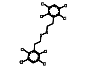 Clc1cc(Cl)c(Cl)c(CCSSCCc2c(Cl)c(Cl)cc(Cl)c2Cl)c1Cl